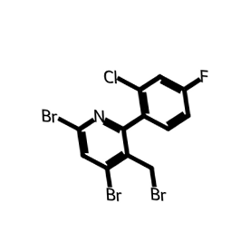 Fc1ccc(-c2nc(Br)cc(Br)c2CBr)c(Cl)c1